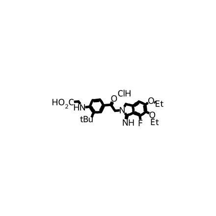 CCOc1cc2c(c(F)c1OCC)C(=N)N(CC(=O)c1ccc(NCC(=O)O)c(C(C)(C)C)c1)C2.Cl